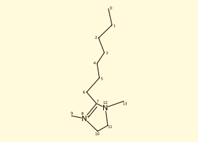 CCCCCCCC1=[N+](C)CCN1C